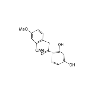 COc1ccc(CC(=O)c2ccc(O)cc2O)c(OC)c1